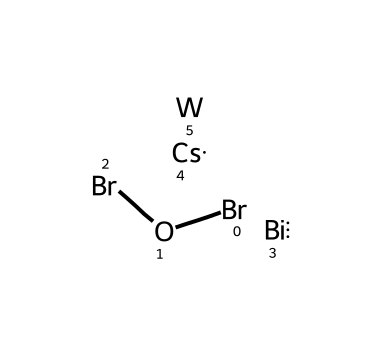 BrOBr.[Bi].[Cs].[W]